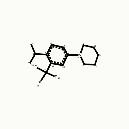 CC(C)c1ccc(N2CCCCC2)cc1C(F)(F)F